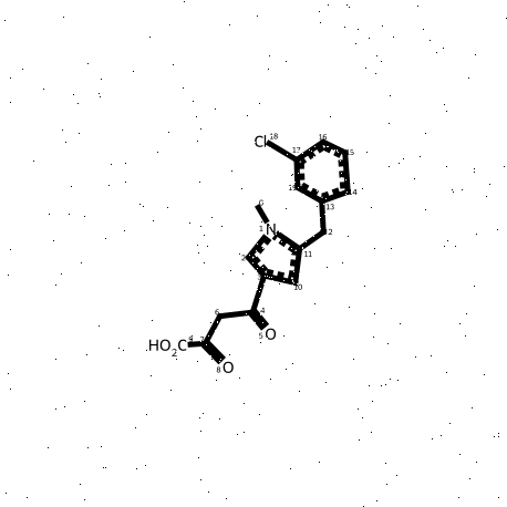 Cn1cc(C(=O)CC(=O)C(=O)O)cc1Cc1cccc(Cl)c1